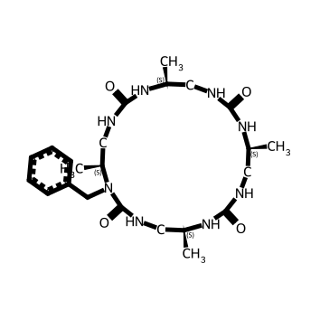 C[C@H]1CNC(=O)N[C@@H](C)CNC(=O)N(Cc2ccccc2)[C@@H](C)CNC(=O)N[C@@H](C)CNC(=O)N1